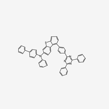 c1ccc(-c2ccc(N(c3ccccc3)c3ccc4c(c3)sc3cccc(-c5ccc(-c6nc(-c7ccccc7)nc(-c7ccccc7)n6)cc5)c34)cc2)cc1